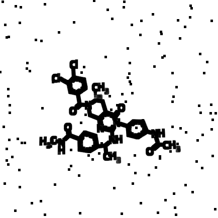 CNC(=O)c1ccc(C(C)Nc2nc3c(c(=O)n2-c2ccc(NC(C)=O)cc2)C[C@@H](C)N(C(=O)c2ccc(Cl)c(Cl)c2)C3)cc1